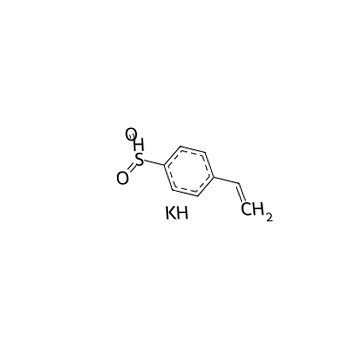 C=Cc1ccc([SH](=O)=O)cc1.[KH]